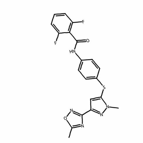 Cc1nc(-c2cc(Sc3ccc(NC(=O)c4c(F)cccc4F)cc3)n(C)n2)no1